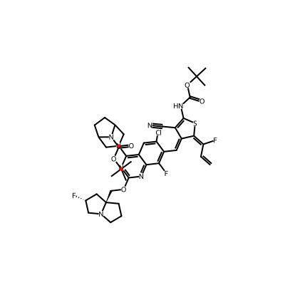 C=C/C(F)=c1/sc(NC(=O)OC(C)(C)C)c(C#N)/c1=C\c1c(Cl)cc2c(N3CC4CCC(C3)N4C(=O)OC(C)(C)C)nc(OC[C@@]34CCCN3C[C@H](F)C4)nc2c1F